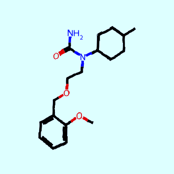 COc1ccccc1COCCN(C(N)=O)C1CCC(C)CC1